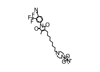 CC1=C(CCCCCCCCN2CCN(S(=O)(=O)N(C)C)CC2)C(=O)N(c2ccc(C#N)c(C(F)(F)F)c2)C1=O